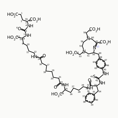 O=C(O)CC[C@H](NC(=O)N[C@@H](CCCCNC(=O)CCCCCCC(=O)NC(CCCCNC(=O)C(Cc1ccccc1)NC(=S)Nc1ccc(CC2CN(CC(=O)O)CCN(CC(=O)O)C/C(C(=O)O)=N/2)cc1)C(=O)O)C(=O)O)C(=O)O